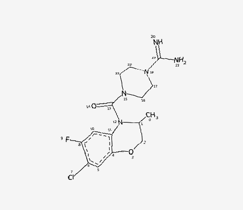 CC1COc2cc(Cl)c(F)cc2N1C(=O)N1CCN(C(=N)N)CC1